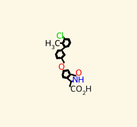 Cc1c(Cl)cccc1-c1cccc(COc2ccc3c(c2)C(=O)NC3CC(=O)O)c1